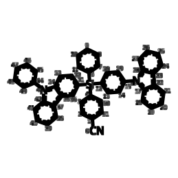 N#Cc1ccc([Si](c2ccccc2)(c2ccc(-n3c4ccccc4c4ccccc43)cc2)c2ccc3c(c2)c2ccccc2n3-c2ccccc2)cc1